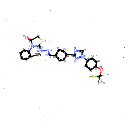 CC(C)c1ccccc1N1C(=O)CS/C1=N\N=C\c1ccc(-c2ncn(-c3ccc(OC(F)(F)C(F)(F)F)cc3)n2)cc1